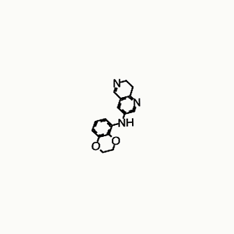 C1=NCCc2ncc(Nc3cccc4c3OCCO4)cc21